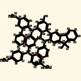 CCCCc1ccc(N2B3c4cc(N(c5ccc(CCCC)cc5)c5ccc(CCCC)cc5)c#cc4N(c4ccc(CCCC)cc4C4=CC=CCC4)c4cc(C)cc(c43)-c3cc4c(cc32)C(C)(C)c2ccccc2-4)cc1